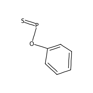 S=POc1ccccc1